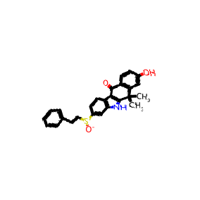 CC1(C)c2cc(O)ccc2C(=O)c2c1[nH]c1cc([S+]([O-])CCc3ccccc3)ccc21